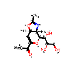 COC(=O)C1=C[C@H]2OC(C)=N[C@H]2[C@H]([C@H](O)[C@H](O)CO)O1